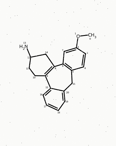 COc1ccc2c(c1)C1=C(CCC(N)C1)c1ccccc1C2